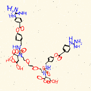 N=C(N)Nc1ccc(C(=O)Oc2ccc(CNS(=O)(=O)N(CCOCCOCCN(C(CC(=O)O)C(=O)O)S(=O)(=O)NCc3ccc(OC(=O)c4ccc(NC(=N)N)cc4)cc3)C(CC(=O)O)C(=O)O)cc2)cc1